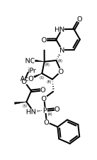 CC(=O)O[C@@H]1[C@@H](CO[P@](=O)(N[C@@H](C)C(=O)OC(C)C)Oc2ccccc2)O[C@@H](n2ccc(=O)[nH]c2=O)[C@]1(C)C#N